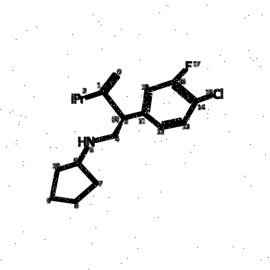 C=C(C(C)C)[C@H](CNC1CCCC1)c1ccc(Cl)c(F)c1